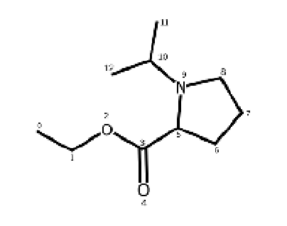 CCOC(=O)C1CCCN1C(C)C